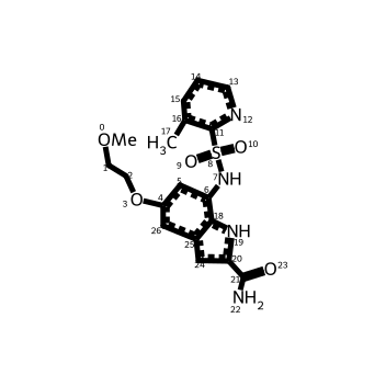 COCCOc1cc(NS(=O)(=O)c2ncccc2C)c2[nH]c(C(N)=O)cc2c1